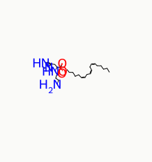 CCCCC/C=C\C/C=C\C/C=C\CCCCCOC(=O)C(Cc1c[nH]cn1)NC(=O)CCN